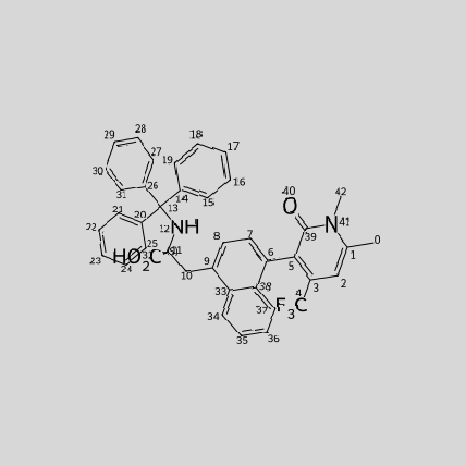 Cc1cc(C(F)(F)F)c(-c2ccc(C[C@H](NC(c3ccccc3)(c3ccccc3)c3ccccc3)C(=O)O)c3ccccc23)c(=O)n1C